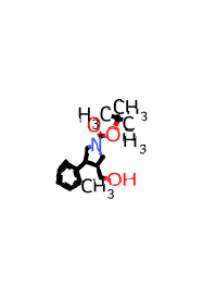 Cc1ccccc1C1CN(C(=O)OC(C)(C)C)CC1CO